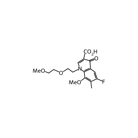 COCCOCCn1cc(C(=O)O)c(=O)c2cc(F)c(C)c(OC)c21